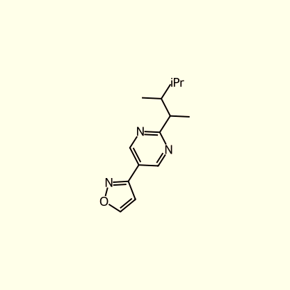 CC(C)C(C)C(C)c1ncc(-c2ccon2)cn1